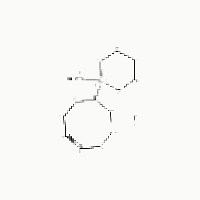 CCCCCCCC[N+]1(C2CCC=CCCC2)CCCCC1.[I-]